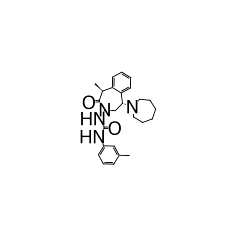 Cc1cccc(NC(=O)NN2C[C@@H](N3CCCCCC3)c3ccccc3[C@H](C)C2=O)c1